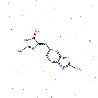 CC1=N/C(=C\c2ccc3nc(C)sc3c2)C(=O)N1